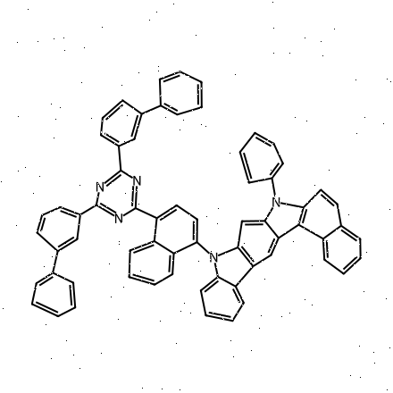 c1ccc(-c2cccc(-c3nc(-c4cccc(-c5ccccc5)c4)nc(-c4ccc(-n5c6ccccc6c6cc7c8c9ccccc9ccc8n(-c8ccccc8)c7cc65)c5ccccc45)n3)c2)cc1